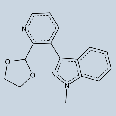 Cn1nc(-c2cccnc2C2OCCO2)c2ccccc21